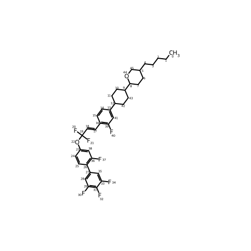 CCCCCC1CCC(C2CCC(c3ccc(/C=C/C(F)(F)Oc4ccc(-c5cc(F)c(F)c(F)c5)c(F)c4)c(F)c3)CC2)OC1